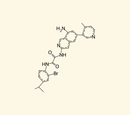 Cc1ccncc1-c1cc(N)c2cnc(NC(=O)C(=O)Nc3ccc(C(C)C)cc3Br)cc2c1